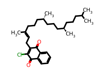 C/C(=C\CC1=C(Cl)C(=O)c2ccccc2C1=O)CCC[C@H](C)CCC[C@H](C)CCCC(C)C